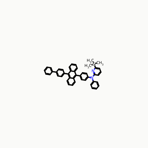 C[Si](C)(C)c1cccc(N(c2ccccc2)c2ccc(-c3c4ccccc4c(-c4ccc(-c5ccccc5)cc4)c4ccccc34)cc2)n1